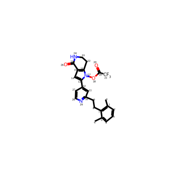 Cc1cccc(C)c1CCc1cc(-c2cc3c(n2OC(=O)C(F)(F)F)CCNC3=O)ccn1